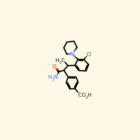 CC(c1cccc(Cl)c1N1CCCCC1)C(C(N)=O)c1ccc(C(=O)O)cc1